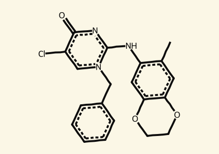 Cc1cc2c(cc1Nc1nc(=O)c(Cl)cn1Cc1ccccc1)OCCO2